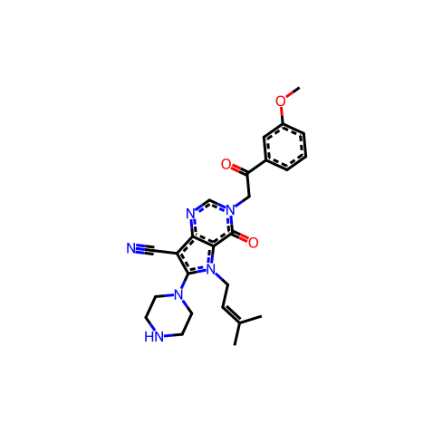 COc1cccc(C(=O)Cn2cnc3c(C#N)c(N4CCNCC4)n(CC=C(C)C)c3c2=O)c1